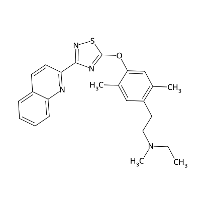 CCN(C)CCc1cc(C)c(Oc2nc(-c3ccc4ccccc4n3)ns2)cc1C